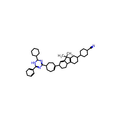 CC1(C)C2=CC(C3=CCCC(C4=NC(C5CCCCC5)NC(C5=CCCC=C5)=N4)CC3)CCC2C2=C1CC(C1CCC(C#N)CC1)CC2